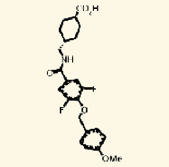 COc1ccc(COc2c(F)cc(C(=O)NC[C@H]3CC[C@H](C(=O)O)CC3)cc2F)cc1